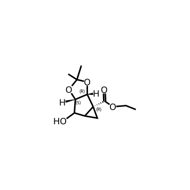 CCOC(=O)[C@]12CC1C(O)[C@@H]1OC(C)(C)O[C@@H]12